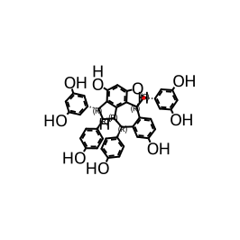 Oc1ccc([C@@H]2c3cc(O)ccc3[C@@H]3c4c(cc(O)c5c4[C@@H]2[C@@H](c2ccc(O)cc2)[C@@H]5c2cc(O)cc(O)c2)O[C@@H]3c2cc(O)cc(O)c2)cc1